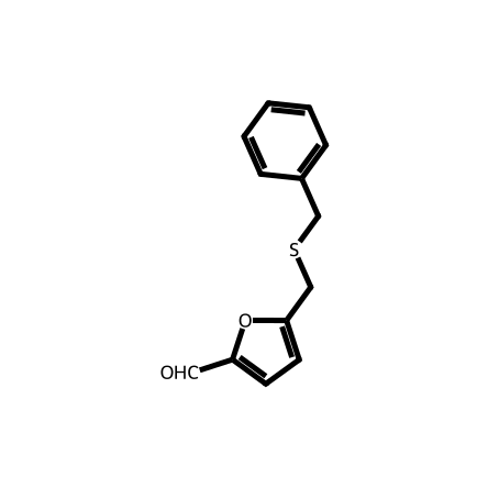 O=Cc1ccc(CSCc2ccccc2)o1